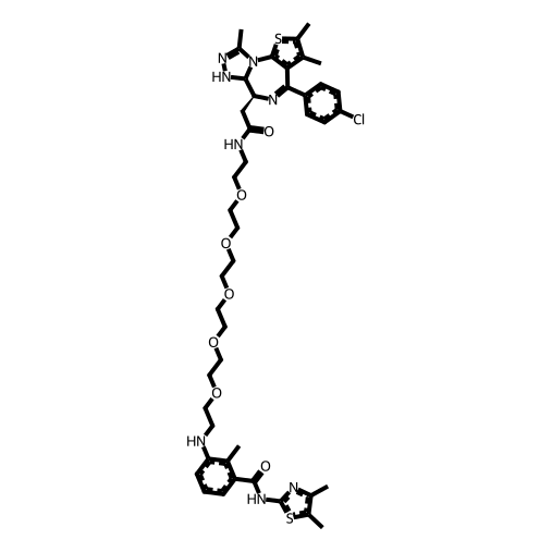 CC1=NNC2[C@H](CC(=O)NCCOCCOCCOCCOCCOCCNc3cccc(C(=O)Nc4nc(C)c(C)s4)c3C)N=C(c3ccc(Cl)cc3)c3c(sc(C)c3C)N12